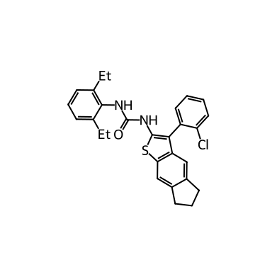 CCc1cccc(CC)c1NC(=O)Nc1sc2cc3c(cc2c1-c1ccccc1Cl)CCC3